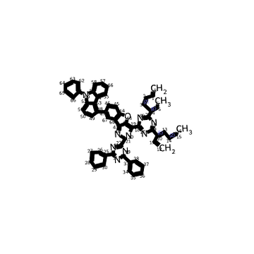 C=C/C=C\C(=C/C)c1nc(/C(C=C)=C/C=C\C)nc(-c2nc(-c3nc(-c4ccccc4)nc(-c4ccccc4)n3)nc3c2oc2ccc(-c4cccc5c4c4ccccc4n5-c4ccccc4)cc23)n1